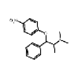 CC(C(Oc1ccc([N+](=O)[O-])cc1)c1ccccc1)N(C)C